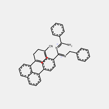 N#CC1=CC=C(c2cccc3cccc(-c4ccc(C(/N=C(\N)c5ccccc5)=N/Cc5ccccc5)cc4)c23)CC1